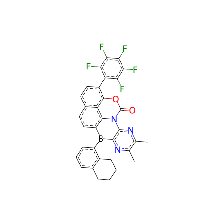 Cc1nc2c(nc1C)N1C(=O)Oc3c(-c4c(F)c(F)c(F)c(F)c4F)ccc4ccc(c1c34)B2c1cccc2c1CCCC2